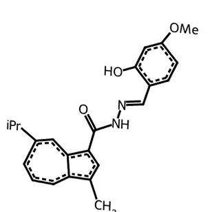 COc1ccc(/C=N/NC(=O)c2cc(C)c3cccc(C(C)C)cc2-3)c(O)c1